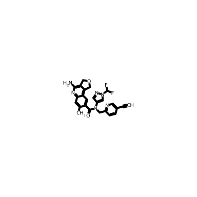 C#Cc1ccc(CN(C(=O)c2cc3c4c(c(N)nc3cc2C)COC4)c2cnn(C(F)F)c2)nc1